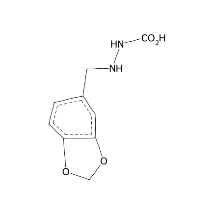 O=C(O)NNCc1ccc2c(c1)OCO2